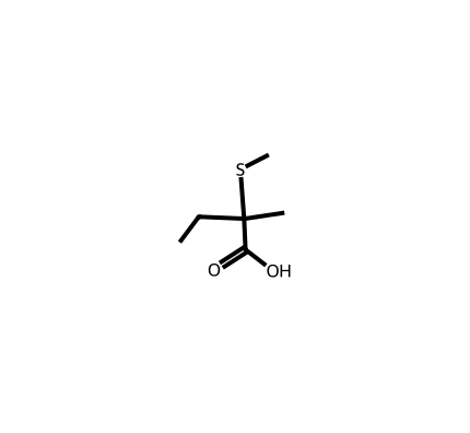 CCC(C)(SC)C(=O)O